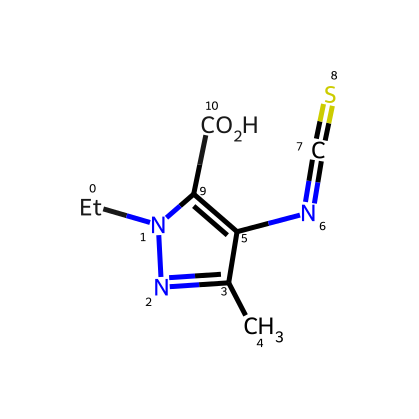 CCn1nc(C)c(N=C=S)c1C(=O)O